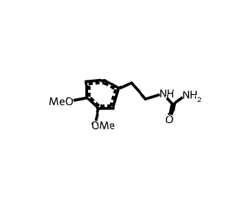 COc1ccc(CCNC(N)=O)cc1OC